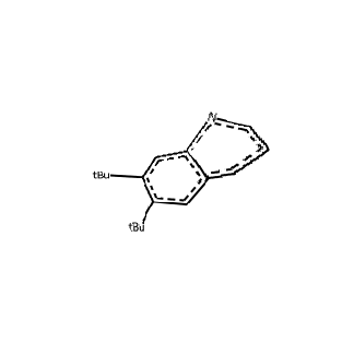 CC(C)(C)c1cc2cccnc2cc1C(C)(C)C